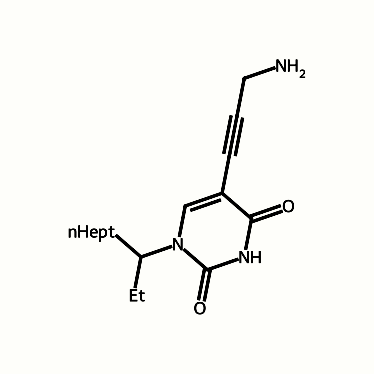 CCCCCCCC(CC)n1cc(C#CCN)c(=O)[nH]c1=O